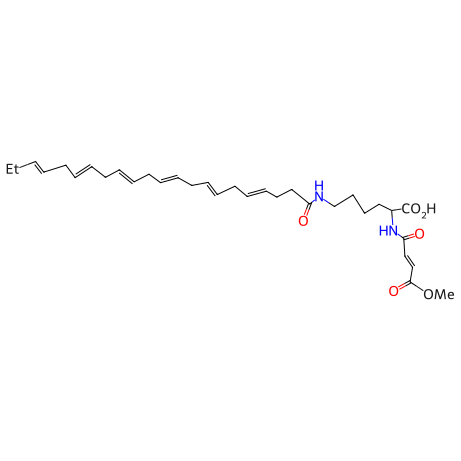 CCC=CCC=CCC=CCC=CCC=CCC=CCCC(=O)NCCCCC(NC(=O)C=CC(=O)OC)C(=O)O